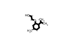 CC(C)C1CC[C@@H](C)CC1OCCO